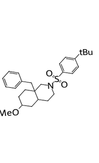 COC1CCC2(Cc3ccccc3)CN(S(=O)(=O)c3ccc(C(C)(C)C)cc3)CCC2C1